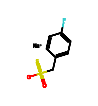 O=S([O-])(=S)Cc1ccc(F)cc1.[Na+]